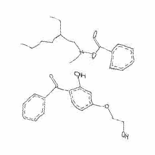 CCCCC(CC)CN(C)OC(=O)c1ccccc1.O=C(c1ccccc1)c1ccc(OCCO)cc1O